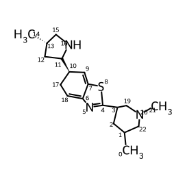 CC1CC(c2nc3c(s2)=C[C@H](C2C[C@H](C)CN2)CC=3)CN(C)C1